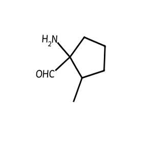 CC1CCCC1(N)C=O